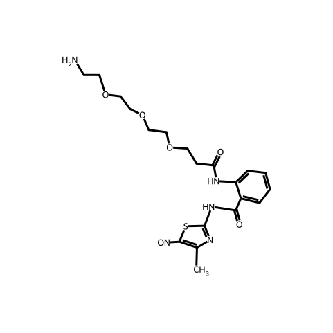 Cc1nc(NC(=O)c2ccccc2NC(=O)CCOCCOCCOCCN)sc1N=O